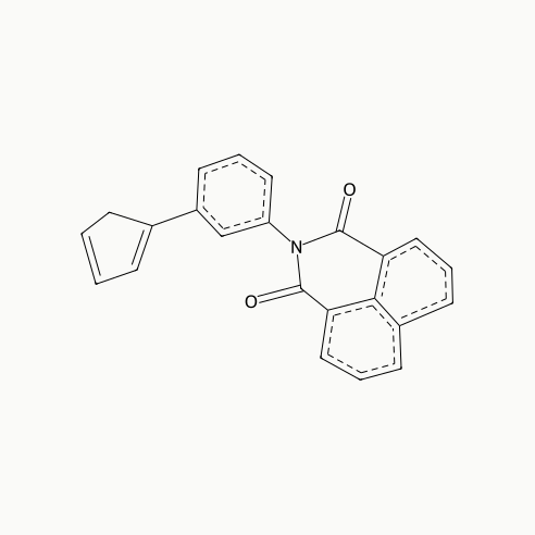 O=C1c2cccc3cccc(c23)C(=O)N1c1cccc(C2=CC=CC2)c1